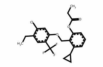 CCC(=O)Oc1cccc(C2CC2)c1COc1cc(Cl)c(CC)cc1C(F)(F)F